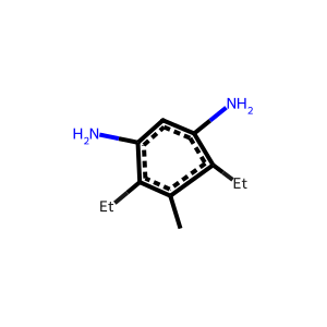 CCc1c(N)cc(N)c(CC)c1C